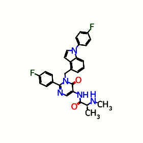 CN[C@@H](C)C(=O)Nc1cnc(-c2ccc(F)cc2)n(Cc2cccc3c2ccn3-c2ccc(F)cc2)c1=O